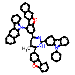 CC1=C(c2ccc3oc4ccccc4c3c2)NC(c2ccc3c4ccccc4n(-c4ccccc4)c3c2)N=C(c2cc(-n3c4ccccc4c4cc5ccccc5cc43)c3c(c2)oc2cc4ccccc4cc23)C1